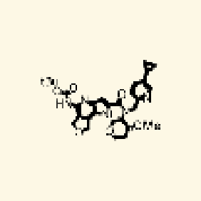 CO[C@@H]1CCOC[C@H]1N(Cc1ccc(C2CC2)cn1)C(=O)c1cc2nc(NC(=O)OC(C)(C)C)c3c(c2[nH]1)COC3